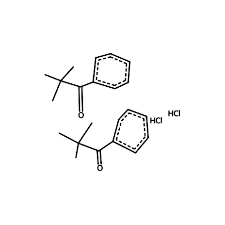 CC(C)(C)C(=O)c1ccccc1.CC(C)(C)C(=O)c1ccccc1.Cl.Cl